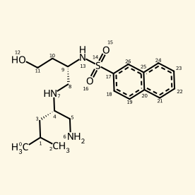 CC(C)C[C@@H](CN)NC[C@H](CCO)NS(=O)(=O)c1ccc2ccccc2c1